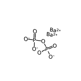 O=P([O-])([O-])OP(=O)([O-])[O-].[Ba+2].[Ba+2]